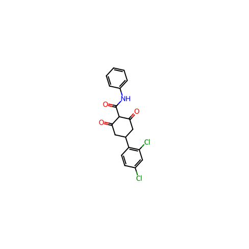 O=C1CC(c2ccc(Cl)cc2Cl)CC(=O)C1C(=O)Nc1ccccc1